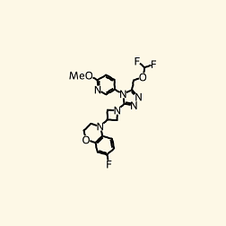 COc1ccc(-n2c(COC(F)F)nnc2N2CC(N3CCOc4cc(F)ccc43)C2)cn1